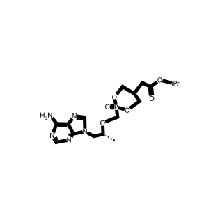 CC(C)OC(=O)CC1COP(=O)(CO[C@H](C)Cn2cnc3c(N)ncnc32)OC1